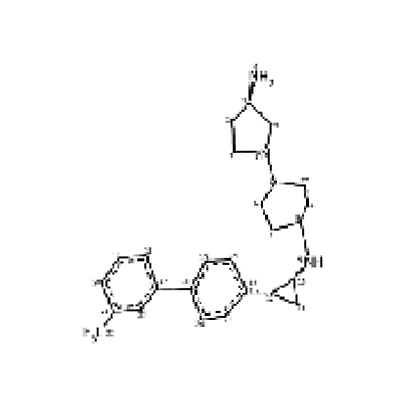 N[C@@H]1CCN(C2CCC(N[C@H]3C[C@@H]3c3ccc(-c4cccc(C(F)(F)F)c4)cc3)CC2)C1